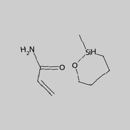 C=CC(N)=O.C[SiH]1CCCCO1